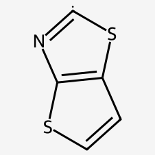 [c]1nc2sccc2s1